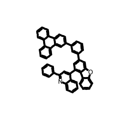 c1ccc(-c2cc(-c3cc(-c4cccc(-c5ccc6c7ccccc7c7ccccc7c6c5)c4)cc4oc5ccccc5c34)c3ccccc3n2)cc1